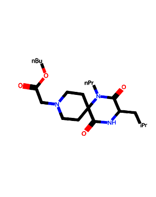 CCCCOC(=O)CN1CCC2(CC1)C(=O)NC(CC(C)C)C(=O)N2CCC